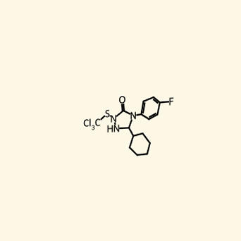 O=C1N(SC(Cl)(Cl)Cl)NC(C2CCCCC2)N1c1ccc(F)cc1